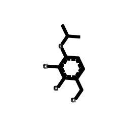 CC(C)Oc1ccc(CCl)c(Cl)c1Cl